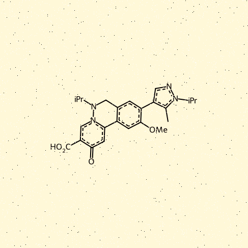 COc1cc2c(cc1-c1cnn(C(C)C)c1C)CN(C(C)C)n1cc(C(=O)O)c(=O)cc1-2